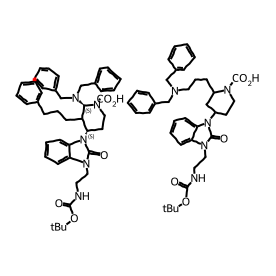 CC(C)(C)OC(=O)NCCn1c(=O)n(C2CCN(C(=O)O)C(CCCN(Cc3ccccc3)Cc3ccccc3)C2)c2ccccc21.CC(C)(C)OC(=O)NCCn1c(=O)n([C@H]2CCN(C(=O)O)[C@H](N(Cc3ccccc3)Cc3ccccc3)C2CCCc2ccccc2)c2ccccc21